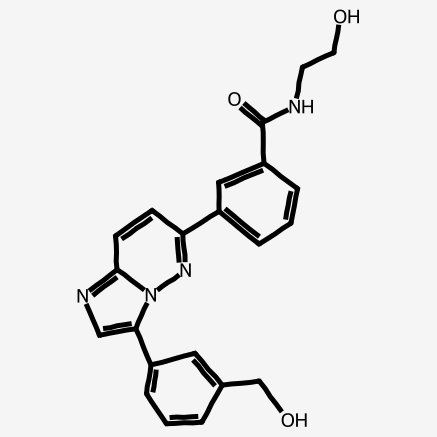 O=C(NCCO)c1cccc(-c2ccc3ncc(-c4cccc(CO)c4)n3n2)c1